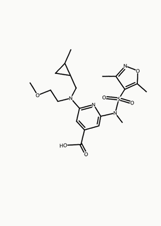 COCCN(CC1CC1C)c1cc(C(=O)O)cc(N(C)S(=O)(=O)c2c(C)noc2C)n1